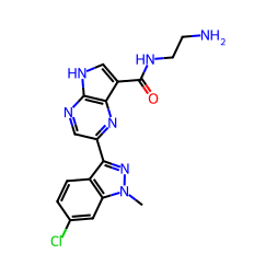 Cn1nc(-c2cnc3[nH]cc(C(=O)NCCN)c3n2)c2ccc(Cl)cc21